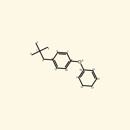 CC(C)(C)Cc1ccc(OC2=CCCC=C2)cc1